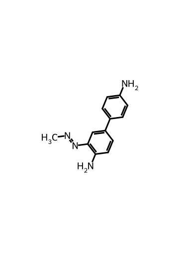 CN=Nc1cc(-c2ccc(N)cc2)ccc1N